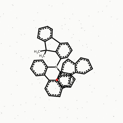 CC1(C)c2ccccc2-c2cccc(N(c3ccccc3)c3ccccc3-c3cccc4oc5c6ccccc6ccc5c34)c21